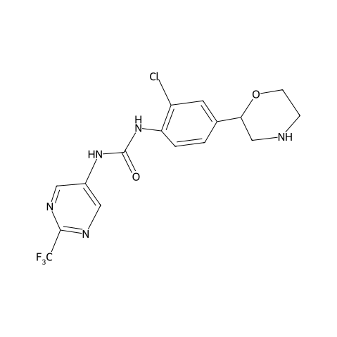 O=C(Nc1cnc(C(F)(F)F)nc1)Nc1ccc(C2CNCCO2)cc1Cl